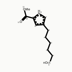 CCCCCCCCCCCCCc1c[nH]c(C(=O)OC)c1